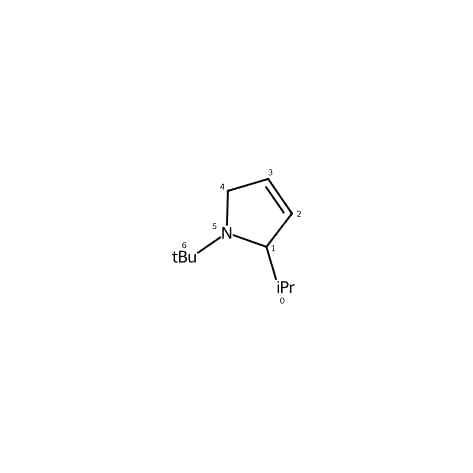 CC(C)C1C=CCN1C(C)(C)C